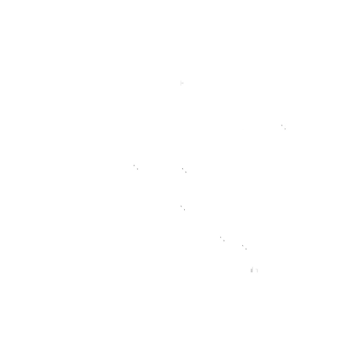 CC(C)n1ccc(-c2nc(CNc3ccccc3F)[nH]c2-c2ccc3ncccc3c2)n1.Cl